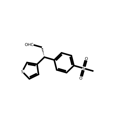 CS(=O)(=O)c1ccc([C@@H](CC=O)c2ccsc2)cc1